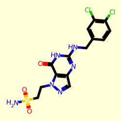 NS(=O)(=O)CCn1ncc2nc(NCc3ccc(Cl)c(Cl)c3)[nH]c(=O)c21